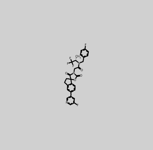 C[C@H](N(Cc1ccc(F)cc1)C(=O)CN1C(=O)OC2(CCc3cc(-c4cncc(F)c4)ccc32)C1=O)C(F)(F)F